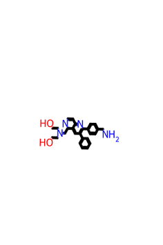 NCc1ccc(-c2nc3ccnc(CN(CCO)CCO)c3cc2-c2ccccc2)cc1